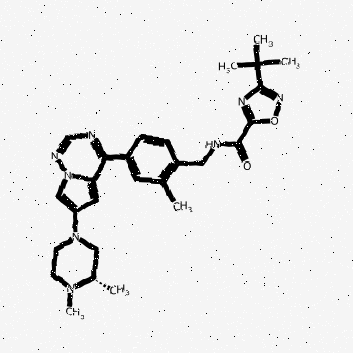 Cc1cc(-c2ncnn3cc(N4CCN(C)[C@@H](C)C4)cc23)ccc1CNC(=O)c1nc(C(C)(C)C)no1